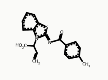 C=CC(C(=O)O)n1/c(=N/C(=O)c2ccc(C)cc2)sc2ccccc21